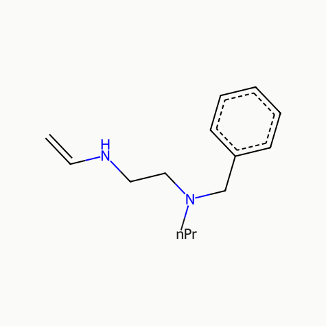 [CH2]CCN(CCNC=C)Cc1ccccc1